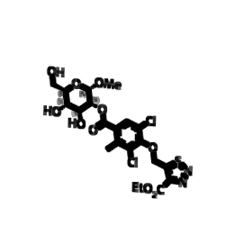 CCOC(=O)c1nnsc1COc1c(Cl)cc(C(=O)O[C@H]2[C@@H](OC)O[C@H](CO)[C@@H](O)[C@@H]2O)c(C)c1Cl